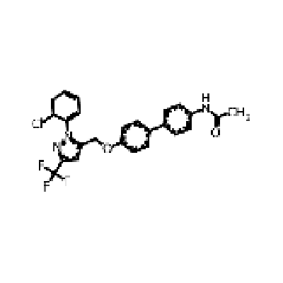 CC(=O)Nc1ccc(-c2ccc(OCc3cc(C(F)(F)F)nn3C3=CC=CCC3Cl)cc2)cc1